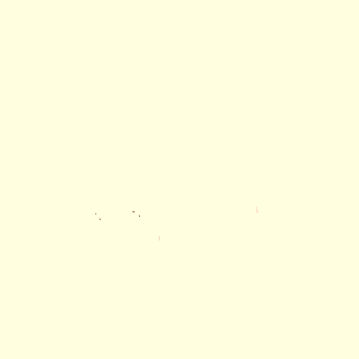 Cc1cnn(C(C)(C)C)c1-c1cc(F)ccc1F